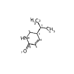 CC(C)C1C=CC(=O)NC1